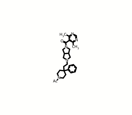 CC(=O)N1CCC(CCN2CC3CN(C(=O)c4c(C)ncnc4C)CC3C2)(c2ccccc2)CC1